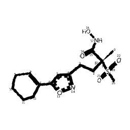 C[C@@](CCc1cc(C2=CCCCC2)on1)(C(=O)NO)S(C)(=O)=O